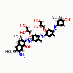 Cc1cc(N=Nc2cc(OCC(O)CO)c(N=Nc3c(S(=O)(=O)O)cc4cc(S(=O)(=O)O)c(N)cc4c3O)cc2C)c(OCC(O)CO)cc1N=Nc1ccc(O)c(S(=O)(=O)O)c1